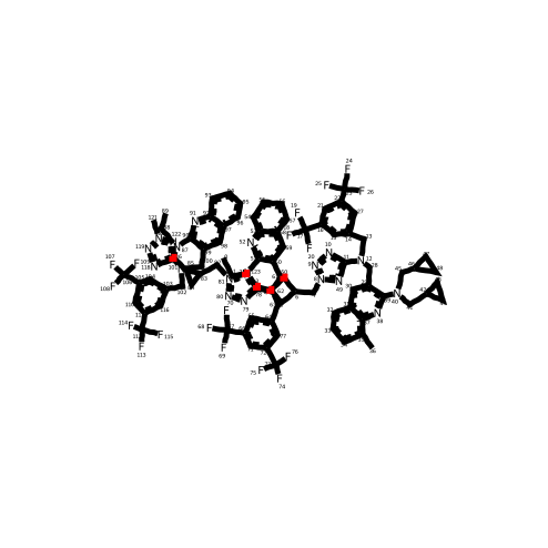 CCN(CC1CC(Cn2nnc(N(Cc3cc(C(F)(F)F)cc(C(F)(F)F)c3)Cc3cc4cccc(C)c4nc3N(CC3CC3)CC3CC3)n2)C1)c1nc2ccccc2cc1CN(Cc1cc(C(F)(F)F)cc(C(F)(F)F)c1)c1nnn(CC2CC2CN(CC)c2nc3ccccc3cc2CN(Cc2cc(C(F)(F)F)cc(C(F)(F)F)c2)c2nnn(C)n2)n1